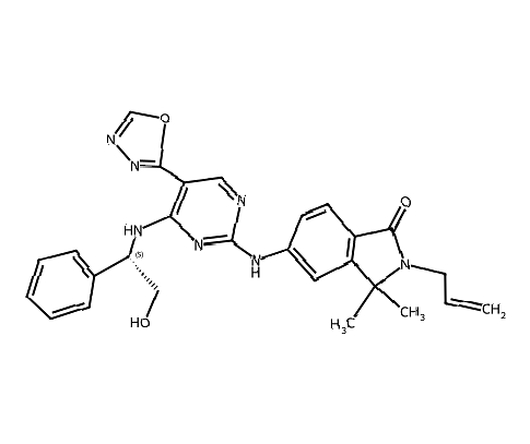 C=CCN1C(=O)c2ccc(Nc3ncc(-c4nnco4)c(N[C@H](CO)c4ccccc4)n3)cc2C1(C)C